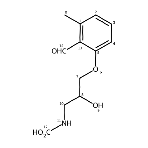 Cc1cccc(OCC(O)CNC(=O)O)c1C=O